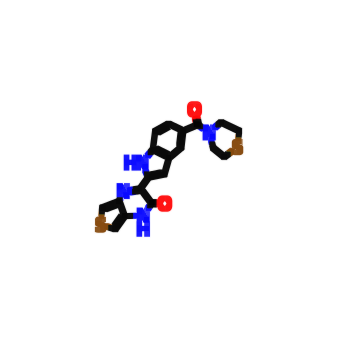 O=C(c1ccc2[nH]c(-c3nc4cscc4[nH]c3=O)cc2c1)N1CCSCC1